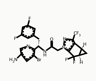 Nc1cnc([C@H](Cc2cc(F)cc(F)c2)NC(=O)Cn2nc(C(F)(F)F)c3c2C(F)(F)[C@@H]2C[C@H]32)c(Br)c1